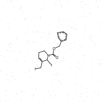 O=C(OCc1ccccc1)N1CCC=C(CI)C1I